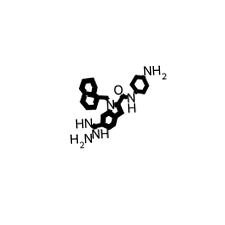 N=C(NN)c1ccc2cc(C(=O)NC3CCC(N)CC3)n(Cc3cccc4ccccc34)c2c1